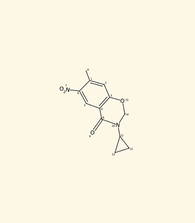 Cc1cc2c(cc1[N+](=O)[O-])C(=O)N(C1CC1)CO2